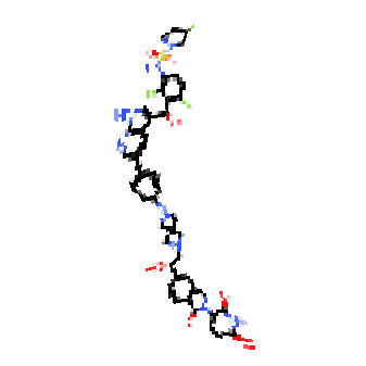 O=C1CCC(N2Cc3cc([C@H](O)CN4CC5(C4)CN(c4ccc(-c6cnc7[nH]cc(C(=O)c8c(F)ccc(NS(=O)(=O)N9CC[C@@H](F)C9)c8F)c7c6)cc4)C5)ccc3C2=O)C(=O)N1